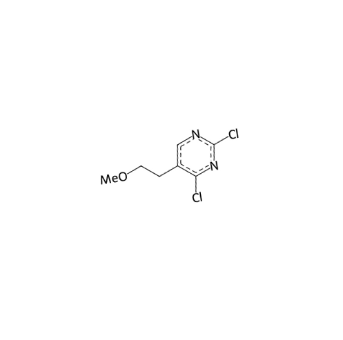 COCCc1cnc(Cl)nc1Cl